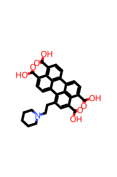 O=C(O)c1ccc2c3ccc(C(=O)O)c4c(C(=O)O)cc(CCN5CCCCC5)c(c5ccc(C(=O)O)c1c25)c43